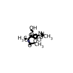 CO/C1=C/C(=O)CC(C)Oc2c(Cl)c(-c3nnc(C)o3)cc(OCCO)c2C(=O)C1